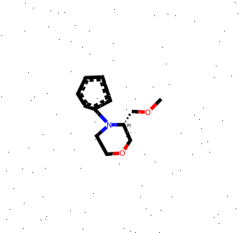 COC[C@@H]1COCCN1c1cc[c]cc1